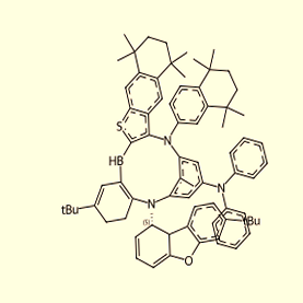 Cc1c2cc(N(c3ccccc3)c3ccccc3)cc1N([C@H]1C=CC=C3Oc4cc(C(C)(C)C)ccc4C31)C1=C(Bc3sc4cc5c(cc4c3N2c2ccc3c(c2)C(C)(C)CCC3(C)C)C(C)(C)CCC5(C)C)C=C(C(C)(C)C)CC1